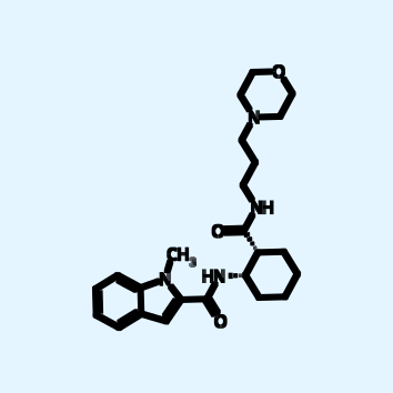 Cn1c(C(=O)N[C@H]2CCCC[C@H]2C(=O)NCCCN2CCOCC2)cc2ccccc21